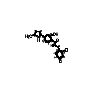 CC1NC(c2ncc(C(=O)NCc3ccc(Cl)cc3Cl)c(O)n2)=CS1